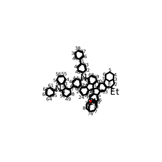 CCC1CC2CCCC(C2)c2cc3c(cc21)-c1cc2c(cc1C31c3ccccc3-c3c(N(c4ccc(-c5ccccc5)cc4)c4ccc(-c5cccc6c5c5ccccc5n6-c5ccccc5)cc4)cccc31)C1CC3CC(CC2C3)C1